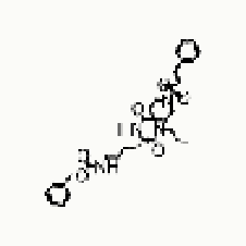 CCCN1C(=O)[C@H](CCCCNC(=O)OCc2ccccc2)NC(=O)C12CCN(S(=O)(=O)C=Cc1ccccc1)CC2